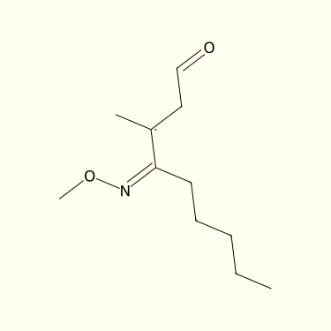 CCCCCC(=NOC)[C](C)CC=O